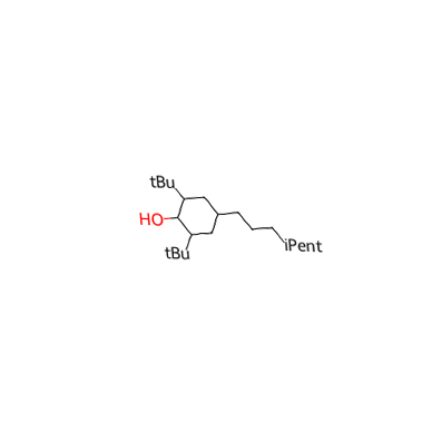 CCCC(C)CCCC1CC(C(C)(C)C)C(O)C(C(C)(C)C)C1